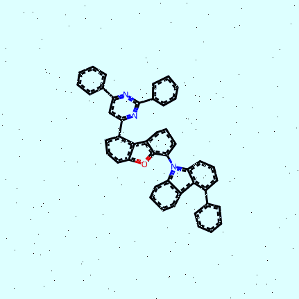 c1ccc(-c2cc(-c3cccc4oc5c(-n6c7ccccc7c7c(-c8ccccc8)cccc76)cccc5c34)nc(-c3ccccc3)n2)cc1